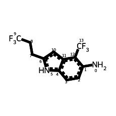 Nc1ccc2[nH]c(CCC(F)(F)F)cc2c1C(F)(F)F